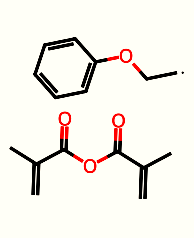 C=C(C)C(=O)OC(=O)C(=C)C.[CH2]COc1ccccc1